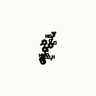 Cc1ccccc1-c1ccc(C(=O)NC2(C(=O)O)C3CC4CC(C3)CC2C4)nc1-c1ccc(Cl)c(OC[C@@H](O)CN(C)C)c1